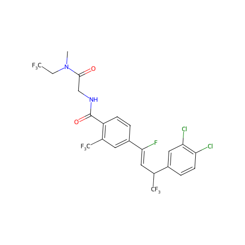 CN(CC(F)(F)F)C(=O)CNC(=O)c1ccc(C(F)=CC(c2ccc(Cl)c(Cl)c2)C(F)(F)F)cc1C(F)(F)F